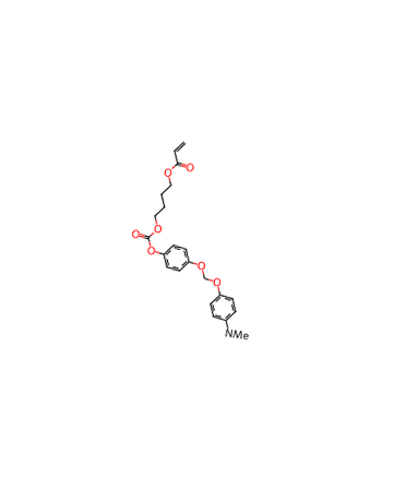 C=CC(=O)OCCCCOC(=O)Oc1ccc(OCOc2ccc(NC)cc2)cc1